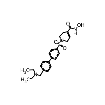 CCN(CC)Cc1ccc(-c2ccc(S(=O)(=O)N3CC=C(C(=O)NO)CC3)cc2)cc1